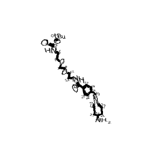 CC(C)(C)OC(=O)NCCOCCOCCNC(=O)c1ccc(CN2CCC(N)CC2)cc1